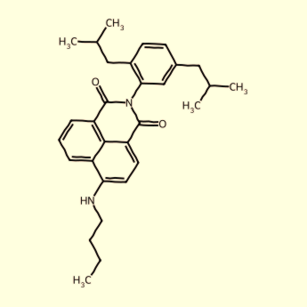 CCCCNc1ccc2c3c(cccc13)C(=O)N(c1cc(CC(C)C)ccc1CC(C)C)C2=O